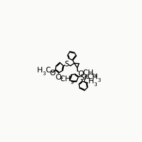 COc1ccc(SCC2(c3ccccc3)CC2CO[Si](c2ccccc2)(c2ccccc2)C(C)(C)C)cc1OC